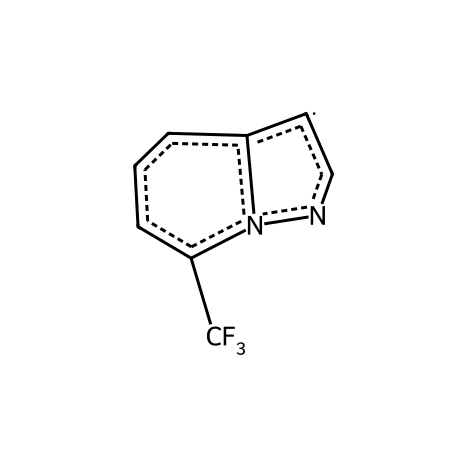 FC(F)(F)c1cccc2[c]cnn12